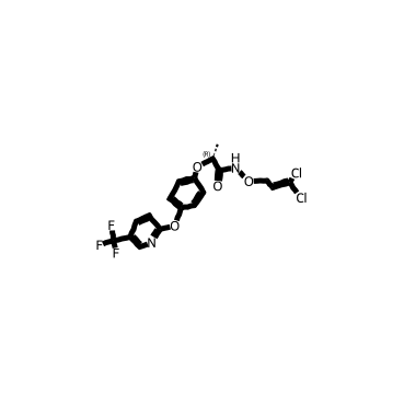 C[C@@H](Oc1ccc(Oc2ccc(C(F)(F)F)cn2)cc1)C(=O)NOCC=C(Cl)Cl